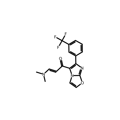 CN(C)/C=C/C(=O)c1c(-c2cccc(C(F)(F)F)c2)nc2occn12